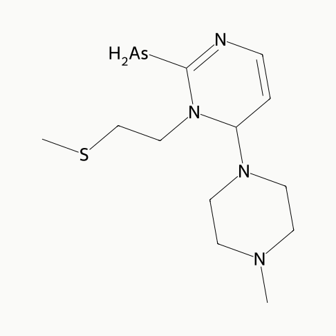 CSCCN1C([AsH2])=NC=CC1N1CCN(C)CC1